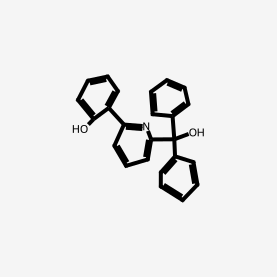 Oc1ccccc1-c1cccc(C(O)(c2ccccc2)c2ccccc2)n1